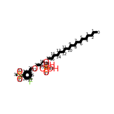 CCCCCCCCCCCCCCCCCCOC[C@H](COCc1cc(F)cc(S(C)(=O)=O)c1)OP(=O)(O)O